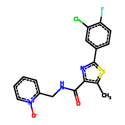 Cc1sc(-c2ccc(F)c(Cl)c2)nc1C(=O)NCc1cccc[n+]1[O-]